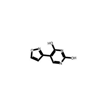 Oc1ncc(-c2ccon2)c(O)n1